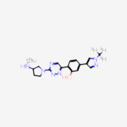 [2H]C([2H])([2H])n1cc(-c2ccc(-c3cnc(N4CCC(NC(C)(C)C)C4)nn3)c(O)c2)cn1